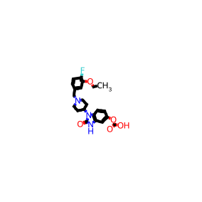 CCOc1cc(CN2CCC(n3c(=O)[nH]c4cc(OC(=O)O)ccc43)CC2)ccc1F